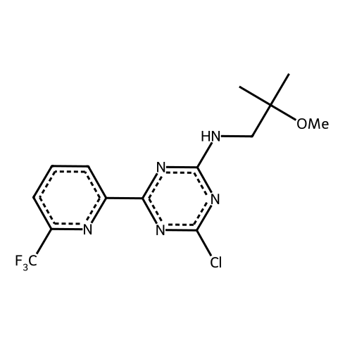 COC(C)(C)CNc1nc(Cl)nc(-c2cccc(C(F)(F)F)n2)n1